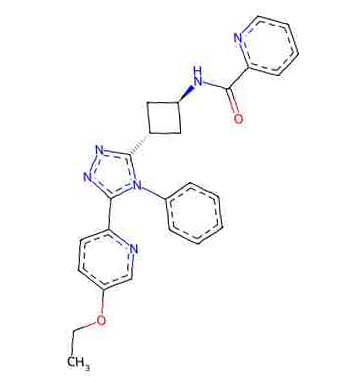 CCOc1ccc(-c2nnc([C@H]3C[C@H](NC(=O)c4ccccn4)C3)n2-c2ccccc2)nc1